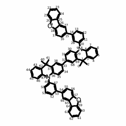 CC1(C)c2ccccc2N(c2cccc(-c3ccc4oc5ccccc5c4c3)c2)c2ccc(-c3ccc4c(c3)C(C)(C)c3ccccc3N4c3cccc(-c4ccc5oc6ccccc6c5c4)c3)cc21